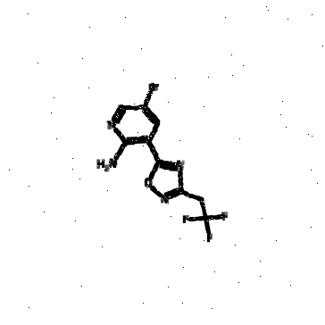 Nc1ncc(Br)cc1-c1nc(CC(F)(F)F)no1